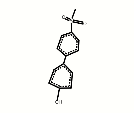 CS(=O)(=O)c1ccc(-c2c[c]c(O)cc2)cc1